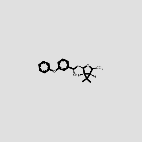 CC1(C)[C@@H]2[C@@H](O[C@@H](C#N)c3cccc(Oc4ccccc4)c3)O[C@@H](C(Cl)(Cl)Cl)[C@@H]21